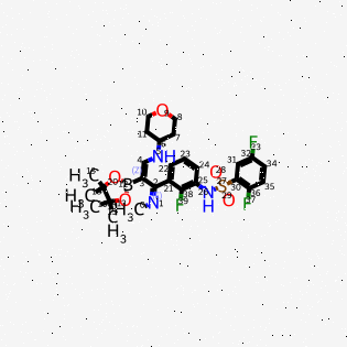 C/N=C(\C(=C/NC1CCOCC1)B1OC(C)(C)C(C)(C)O1)c1cccc(NS(=O)(=O)c2cc(F)ccc2F)c1F